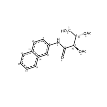 CC(=O)O[C@@H](C(=O)O)[C@@H](OC(C)=O)C(=O)Nc1ccc2ccccc2c1